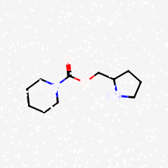 O=C(OCC1CCCN1)N1CCCCC1